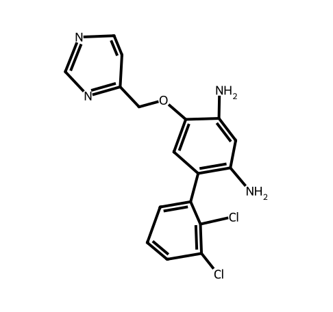 Nc1cc(N)c(-c2cccc(Cl)c2Cl)cc1OCc1ccncn1